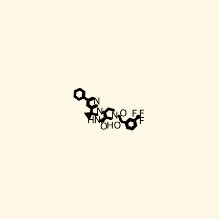 O=C(C(O)c1cccc(C(F)(F)F)c1)N1CCc2nc(C3(c4cncc(C5=CCCCC5)c4)CC3)[nH]c(=O)c2C1